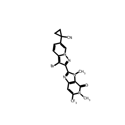 Cn1c(C(F)(F)F)cc2nc(-c3nn4cc(C5(C#N)CC5)ccc4c3Br)n(C)c2c1=O